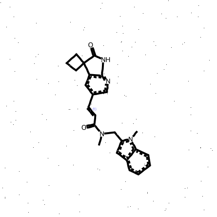 CN(Cc1cc2ccccc2n1C)C(=O)/C=C/c1cnc2c(c1)C1(CCC1)C(=O)N2